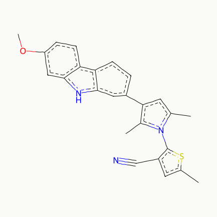 COc1ccc2c(c1)[nH]c1cc(-c3cc(C)n(-c4sc(C)cc4C#N)c3C)ccc12